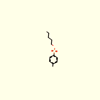 [CH2]CCCCOS(=O)(=O)c1ccc(C)cc1